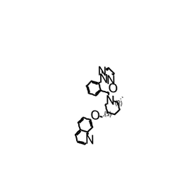 C[C@@H]1CC[C@H](COc2ccc3cccnc3c2)CN1C(=O)c1ccccc1-n1nccn1